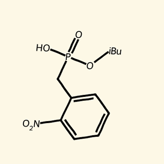 CCC(C)OP(=O)(O)Cc1ccccc1[N+](=O)[O-]